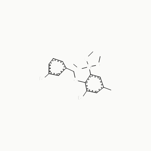 CO[Si](OC)(OC)c1cc(C)cc(Br)c1OCc1cccc(Br)c1